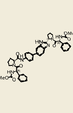 COC(=O)N[C@@H](C(=O)N1CCC[C@H]1C(=O)Nc1ccc(-c2ccc3nc([C@@H]4CCCN4C(=O)[C@H](NC(=O)OC)c4ccccc4)[nH]c3c2)cc1)c1ccccc1